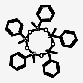 C[Si]1(c2ccccc2)O[Si](C)(c2ccccc2)O[Si](C)(c2ccccc2)O[Si](C)(c2ccccc2)O[Si](C)(c2ccccc2)O1